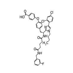 CCCCn1cc(-c2ccc(Cl)cc2Cl)nc1[C@H](Cc1ccc(Oc2ccc(C(=O)O)cc2)cc1)NC(=O)CCCC(=O)NCc1cccc(F)c1